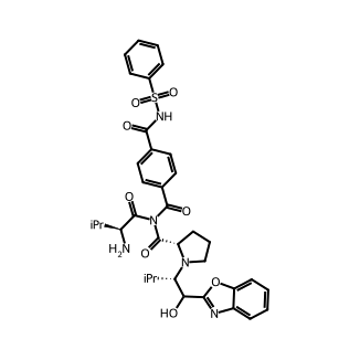 CC(C)[C@@H](C(O)c1nc2ccccc2o1)N1CCC[C@H]1C(=O)N(C(=O)c1ccc(C(=O)NS(=O)(=O)c2ccccc2)cc1)C(=O)[C@@H](N)C(C)C